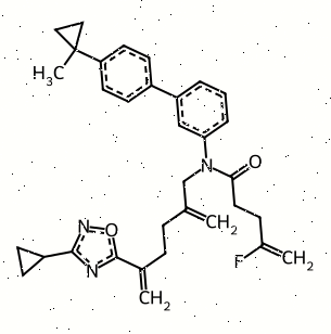 C=C(F)CCC(=O)N(CC(=C)CCC(=C)c1nc(C2CC2)no1)c1cccc(-c2ccc(C3(C)CC3)cc2)c1